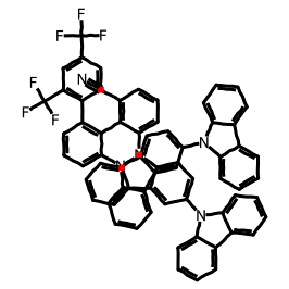 N#Cc1cccc(-n2c3ccccc3c3cc(-n4c5ccccc5c5ccccc54)ccc32)c1-c1c(-c2ccc(C(F)(F)F)cc2C(F)(F)F)cccc1-n1c2ccccc2c2cc(-n3c4ccccc4c4ccccc43)ccc21